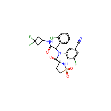 N#Cc1cc(F)cc(N(C(=O)[C@@H]2CCS(=O)(=O)N2)C(C(=O)NC2CC(F)(F)C2)c2ccccc2Cl)c1